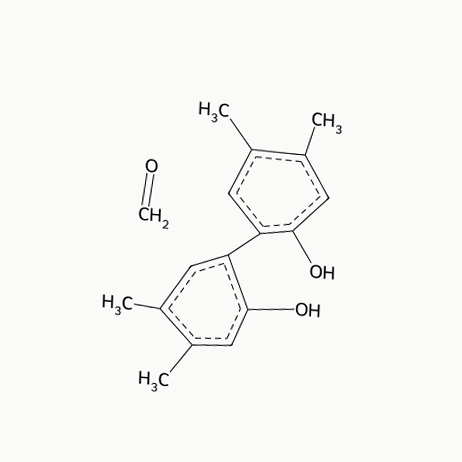 C=O.Cc1cc(O)c(-c2cc(C)c(C)cc2O)cc1C